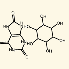 O=c1[nH]c(=O)c2[nH]c(=O)[nH]c2[nH]1.OC1C(O)C(O)C(O)C(O)C1O